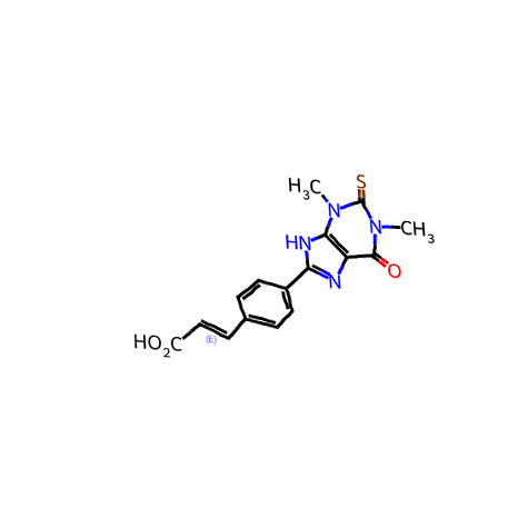 Cn1c(=O)c2nc(-c3ccc(/C=C/C(=O)O)cc3)[nH]c2n(C)c1=S